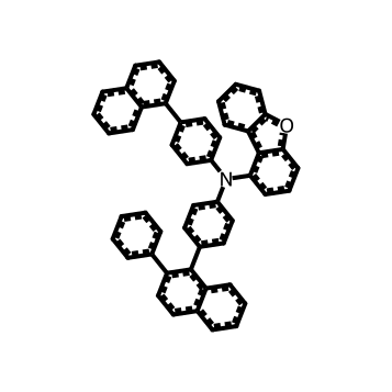 c1ccc(-c2ccc3ccccc3c2-c2ccc(N(c3ccc(-c4cccc5ccccc45)cc3)c3cccc4oc5ccccc5c34)cc2)cc1